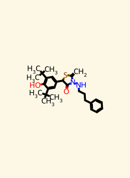 C=C1SC(c2cc(C(C)(C)C)c(O)c(C(C)(C)C)c2)C(=O)N1NCCCc1ccccc1